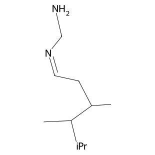 CC(C)C(C)C(C)C/C=N\CN